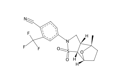 C[C@@]12CC[C@@H](O1)[C@H]1[C@@H]2CN(c2ccc(C#N)c(C(F)(F)F)c2)S1(=O)=O